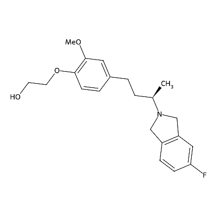 COc1cc(CC[C@@H](C)N2Cc3ccc(F)cc3C2)ccc1OCCO